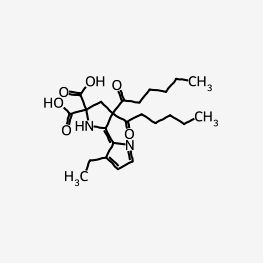 CCCCCC(=O)C1(C(=O)CCCCC)CC(C(=O)O)(C(=O)O)NC1=C1N=CC=C1CC